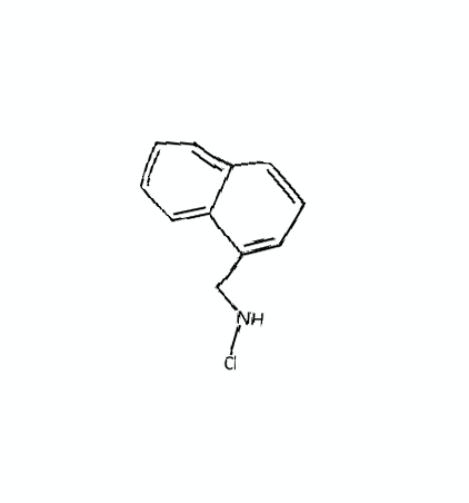 ClNCc1cccc2ccccc12